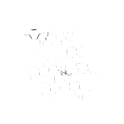 Cc1cc2[nH]c(C(O)[C@@H](O)[C@H](O[C@H]3OC(CO)[C@@H](O[C@H]4OC(CO)[C@@H](O[C@H]5OC(CO)[C@@H](O[C@H]6OC(CO)[C@@H](O[C@H]7OC(CO)[C@@H](O)[C@H](O)C7O)[C@H](O)C6O)[C@H](O)C5O)[C@H](O)C4O)[C@H](O)C3O)C(O)CO)nc2cc1F